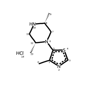 Cc1ncsc1N1C[C@@H](C)NC[C@H]1C.Cl